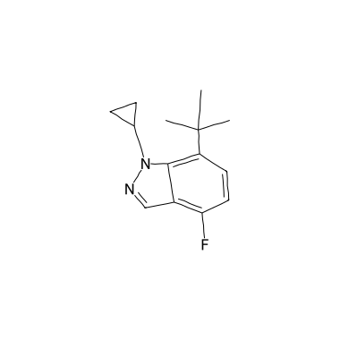 CC(C)(C)c1ccc(F)c2cnn(C3CC3)c12